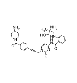 CC(N)(CO)CNc1ccccc1C(=O)Nc1ccn(CC#Cc2ccc(C(=O)N3CCC(N)CC3)cc2)c(=O)n1